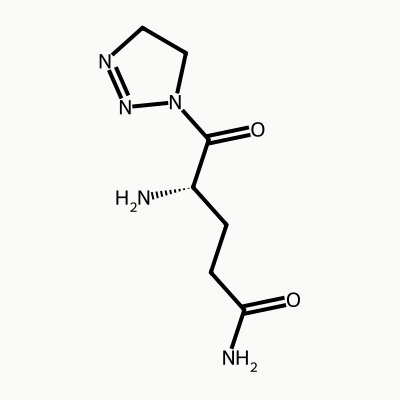 NC(=O)CC[C@H](N)C(=O)N1CCN=N1